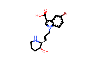 O=C(O)c1cn(C/C=C/[C@H]2NCCC[C@@H]2O)c2ccc(Br)cc12